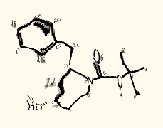 CC(C)(C)OC(=O)N1CC[C@H](O)C[C@H]1Cc1ccccc1